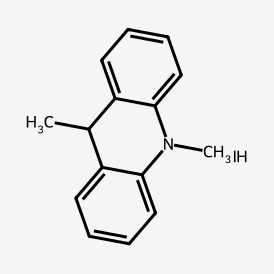 CC1c2ccccc2N(C)c2ccccc21.I